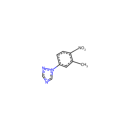 Cc1cc(-n2cncn2)ccc1[N+](=O)[O-]